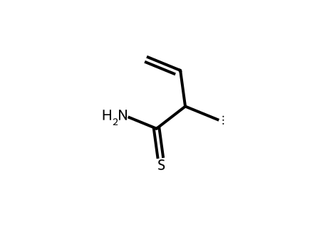 [C]C(C=C)C(N)=S